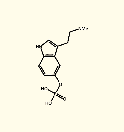 CNCCc1c[nH]c2ccc(OP(=O)(O)O)cc12